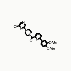 COc1ccc(-c2cccc(C(=O)N3CCN(c4cncc(Cl)n4)CC3)n2)cc1OC